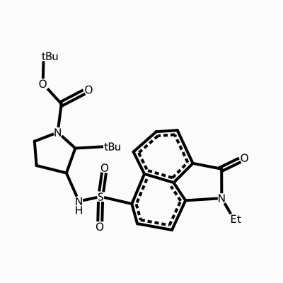 CCN1C(=O)c2cccc3c(S(=O)(=O)NC4CCN(C(=O)OC(C)(C)C)C4C(C)(C)C)ccc1c23